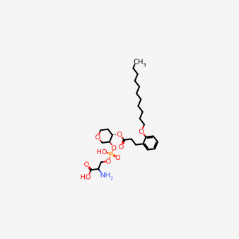 CCCCCCCCCCCOc1ccccc1CCC(=O)O[C@H]1CCOC[C@@H]1OP(=O)(O)OCC(N)C(=O)O